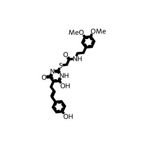 COc1ccc(CCNC(=O)CSc2nc(=O)c(CC=Cc3ccc(O)cc3)c(O)[nH]2)cc1OC